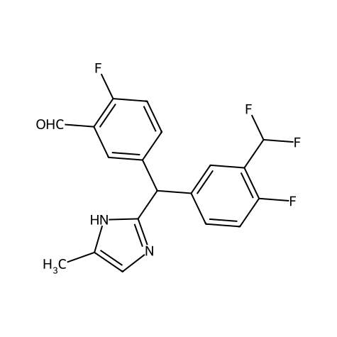 Cc1cnc(C(c2ccc(F)c(C=O)c2)c2ccc(F)c(C(F)F)c2)[nH]1